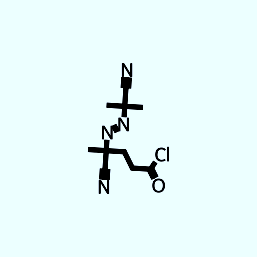 CC(C)(C#N)/N=N/C(C)(C#N)CCC(=O)Cl